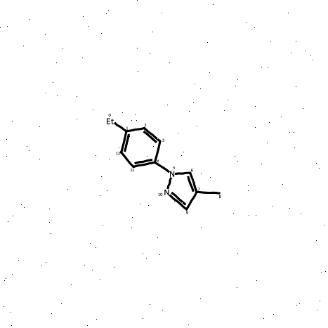 CCc1[c]cc(-n2cc(C)cn2)cc1